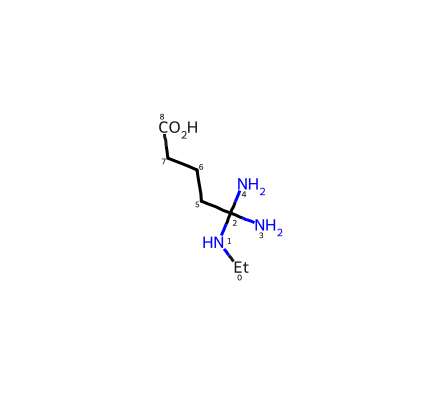 CCNC(N)(N)CCCC(=O)O